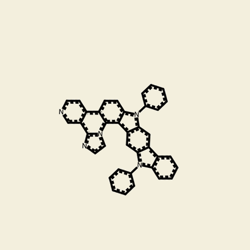 c1ccc(-n2c3ccccc3c3cc4c(cc32)c2c(ccc3c5ccncc5c5nccn5c32)n4-c2ccccc2)cc1